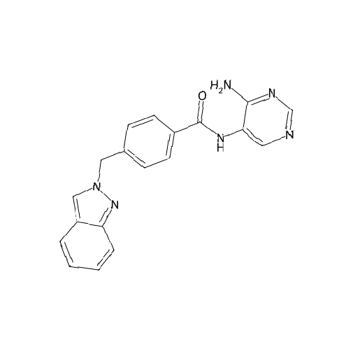 Nc1ncncc1NC(=O)c1ccc(Cn2cc3ccccc3n2)cc1